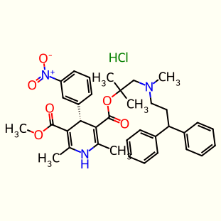 COC(=O)C1=C(C)NC(C)=C(C(=O)OC(C)(C)CN(C)CCC(c2ccccc2)c2ccccc2)[C@H]1c1cccc([N+](=O)[O-])c1.Cl